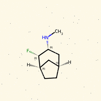 CN[C@@H]1C[C@H]2CC[C@H](C2)[C@@H]1F